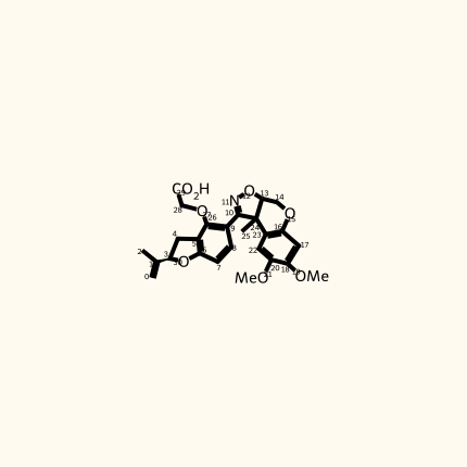 C=C(C)[C@H]1Cc2c(ccc(C3=NOC4COc5cc(OC)c(OC)cc5C34C)c2OCC(=O)O)O1